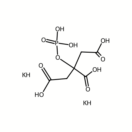 O=C(O)CC(CC(=O)O)(OP(=O)(O)O)C(=O)O.[KH].[KH]